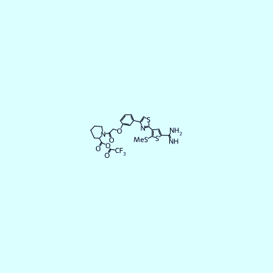 CSc1sc(C(=N)N)cc1-c1nc(-c2cccc(OCC(=O)N3CCCCC3C(=O)OC(=O)C(F)(F)F)c2)cs1